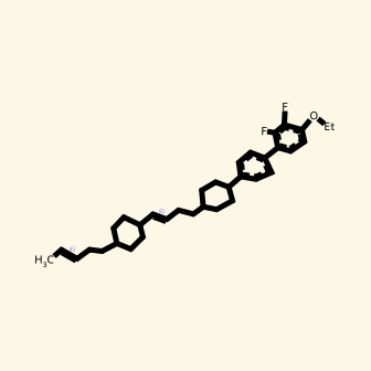 C/C=C/CCC1CCC(/C=C/CCC2CCC(c3ccc(-c4ccc(OCC)c(F)c4F)cc3)CC2)CC1